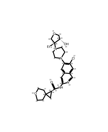 CC[C@@]1(N2CCN(c3cc4cc(NC(=O)[C@H]5CC56CCOCC6)ncc4cc3Cl)CC2)COC[C@@H]1O